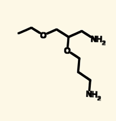 CCOCC(CN)OCCCN